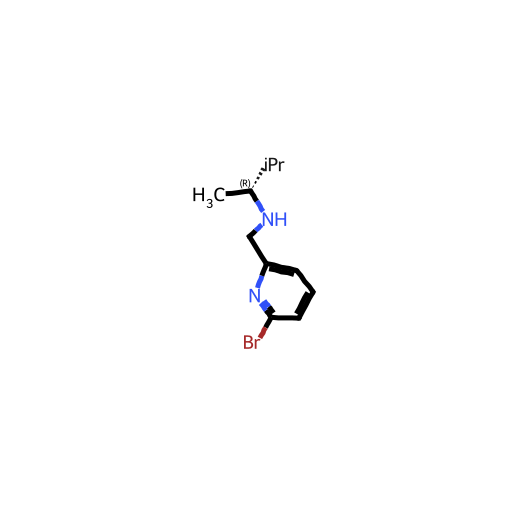 CC(C)[C@@H](C)NCc1cccc(Br)n1